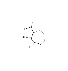 CC(C)C1CCCCC(C(C)F)N1C(C)C